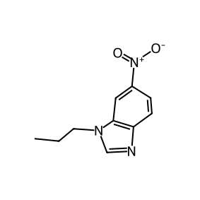 CCCn1cnc2ccc([N+](=O)[O-])cc21